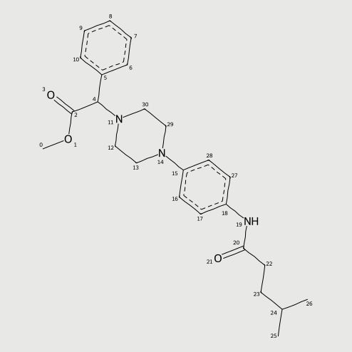 COC(=O)C(c1ccccc1)N1CCN(c2ccc(NC(=O)CCC(C)C)cc2)CC1